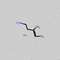 C/C=C(\C)CCN.Cl